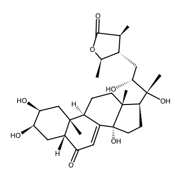 C[C@@H]1C(=O)O[C@H](C)[C@H]1C[C@@H](O)[C@](C)(O)[C@H]1CC[C@@]2(O)C3=CC(=O)[C@@H]4C[C@@H](O)[C@@H](O)C[C@]4(C)[C@H]3CC[C@]12C